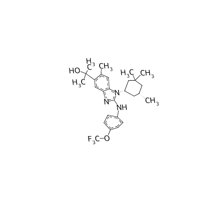 Cc1cc2c(cc1C(C)(C)O)nc(Nc1ccc(OC(F)(F)F)cc1)n2[C@H]1C[C@@H](C)CC(C)(C)C1